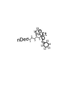 CCCCCCCCCCCCCCCC(CC)(OCc1ccccc1)C1CCCO1